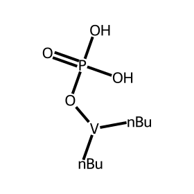 CCC[CH2][V]([CH2]CCC)[O]P(=O)(O)O